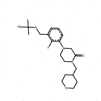 CC(C)(S)OCc1cccc(N2CCN(CC3CCOCC3)C(=O)C2)c1F